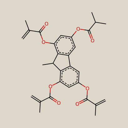 C=C(C)C(=O)Oc1cc(OC(=O)C(=C)C)c2c(c1)-c1cc(OC(=O)C(C)C)cc(OC(=O)C(=C)C)c1C2C